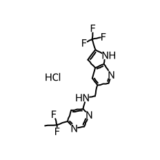 CC(F)(F)c1cc(NCc2cnc3[nH]c(C(F)(F)F)cc3c2)ncn1.Cl